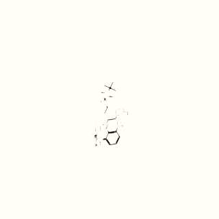 CC(C)(C)[Si](C)(C)OCC[C@H](CO)Nc1c(Br)cccc1[N+](=O)[O-]